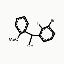 COc1ccccc1C(O)c1cccc(Br)c1F